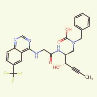 CC#C[C@H](O)[C@H](CN(Cc1ccccc1)C(=O)O)NC(=O)CNc1ncnc2ccc(C(F)(F)F)cc12